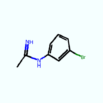 CC(=N)Nc1cccc(Br)c1